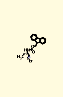 CC[C@@H](/C=[N]/[Lr])NC(=O)OCC1c2ccccc2-c2ccccc21